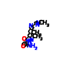 Cc1c(Cc2ccc(-c3ccn(C)n3)nc2)cc2c(=O)n([C@H]3CCOC[C@@H]3N)nnc2c1C